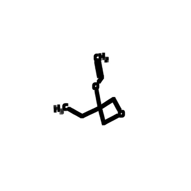 C=COC1(CC)COC1